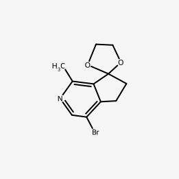 Cc1ncc(Br)c2c1C1(CC2)OCCO1